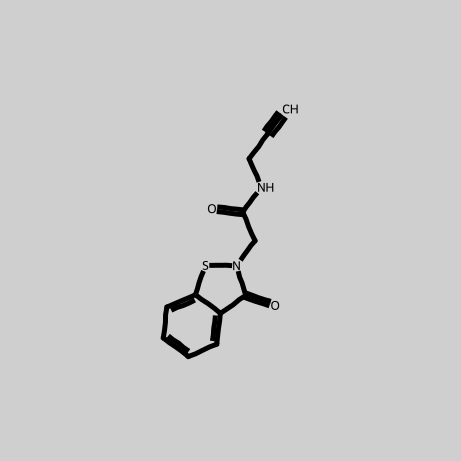 C#CCNC(=O)Cn1sc2ccccc2c1=O